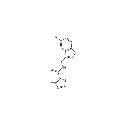 Cc1nnsc1C(=O)NCc1csc2ccc(Cl)cc12